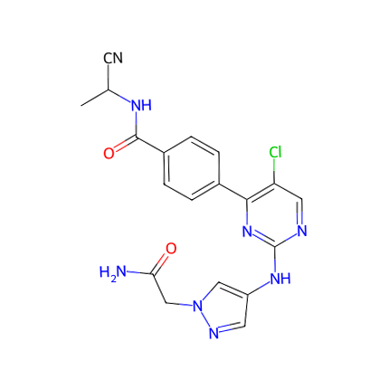 CC(C#N)NC(=O)c1ccc(-c2nc(Nc3cnn(CC(N)=O)c3)ncc2Cl)cc1